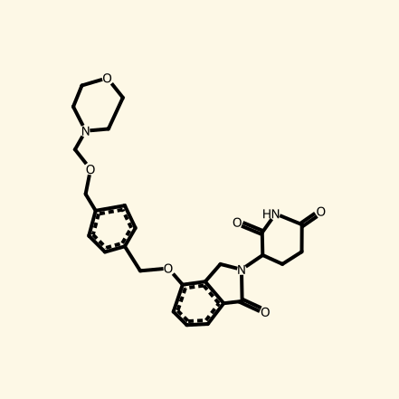 O=C1CCC(N2Cc3c(OCc4ccc(COCN5CCOCC5)cc4)cccc3C2=O)C(=O)N1